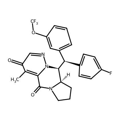 Cc1c2n(ncc1=O)[C@@H]([C@H](c1ccc(F)cc1)c1cccc(OC(F)(F)F)c1)[C@H]1CCCN1C2=O